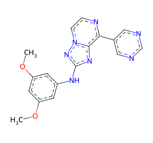 COc1cc(Nc2nc3c(-c4cncnc4)nccn3n2)cc(OC)c1